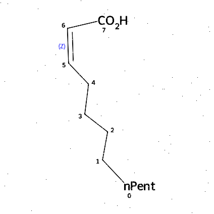 CCCCCCCCC/C=C\C(=O)O